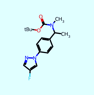 CC(c1ccc(-n2cc(F)cn2)cc1)N(C)C(=O)OC(C)(C)C